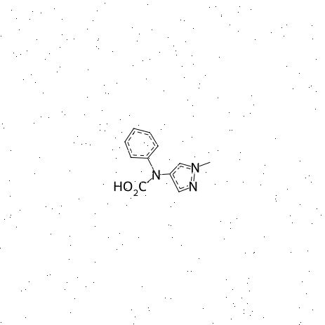 Cn1cc(N(C(=O)O)c2ccccc2)cn1